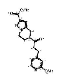 COC(=O)c1cc2n(n1)CCN(C(=O)CCc1cccc(OC)c1)C2